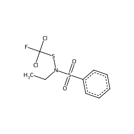 CCN(SC(F)(Cl)Cl)S(=O)(=O)c1ccccc1